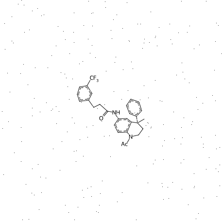 CC(=O)N1CCC(C)(c2ccccc2)c2cc(NC(=O)CCc3cccc(C(F)(F)F)c3)ccc21